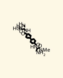 CNC(=O)C(CN)NC(=O)c1ccc(-c2ccc(C(=O)N[C@@H](CN)C(=O)NO)cc2)cc1